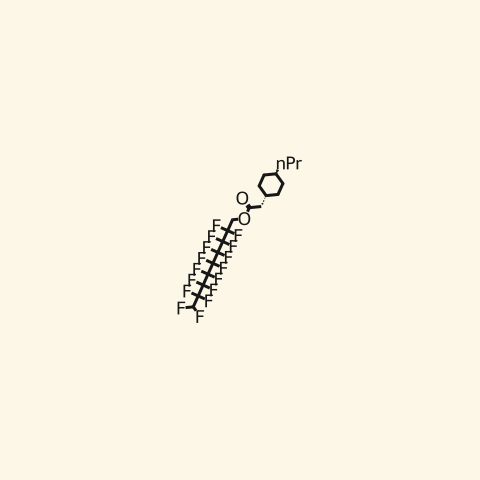 CCC[C@H]1CC[C@H](CC(=O)OCC(F)(F)C(F)(F)C(F)(F)C(F)(F)C(F)(F)C(F)(F)C(F)(F)C(F)F)CC1